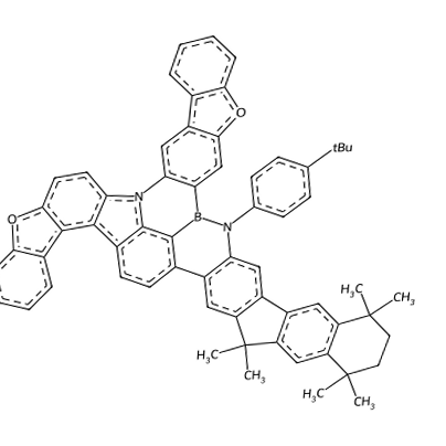 CC(C)(C)c1ccc(N2B3c4cc5oc6ccccc6c5cc4-n4c5ccc6oc7ccccc7c6c5c5ccc(c3c54)-c3cc4c(cc32)-c2cc3c(cc2C4(C)C)C(C)(C)CCC3(C)C)cc1